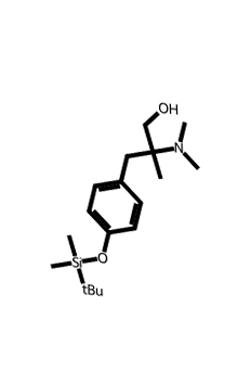 CN(C)C(C)(CO)Cc1ccc(O[Si](C)(C)C(C)(C)C)cc1